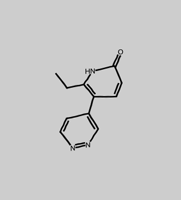 CCc1[nH]c(=O)ccc1-c1ccnnc1